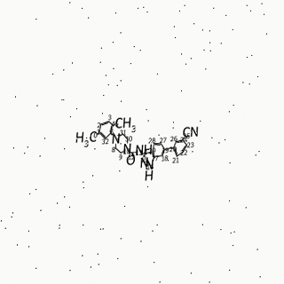 Cc1ccc(C)c(N2CCN(C(=O)Nc3n[nH]c4cc(-c5cccc(C#N)c5)ccc34)CC2)c1